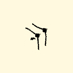 CCCCCCCCCCCCCCCCOP(=O)([O-])OCCCCCCCCCCCCCCCC.CCCCCCCCCCCCCCCCOP(=O)([O-])OCCCCCCCCCCCCCCCC.[Al+2]